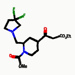 CCOC(=O)CC(=O)C1CCN(C(=O)OC)C(CN2CCC(F)(F)C2)C1